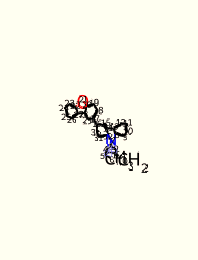 C=C/C=C(\C=C/C)n1c2ccccc2c2cc(-c3ccc4oc5ccccc5c4c3)ccc21